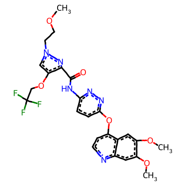 COCCn1cc(OCC(F)(F)F)c(C(=O)Nc2ccc(Oc3ccnc4cc(OC)c(OC)cc34)nn2)n1